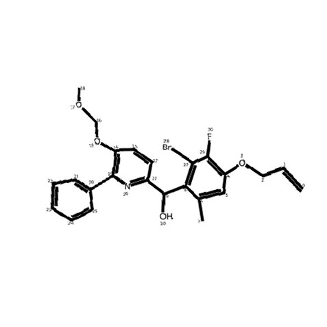 C=CCOc1cc(C)c(C(O)c2ccc(OCOC)c(-c3ccccc3)n2)c(Br)c1F